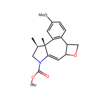 COc1ccc2c(c1)[C@]1(C)C(=CC3OCC23)N(C(=O)OC(C)(C)C)C[C@H]1C